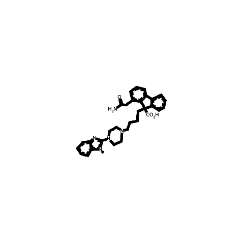 Cn1c(N2CCN(CCCCC3(C(=O)O)c4ccccc4-c4cccc(CC(N)=O)c43)CC2)nc2ccccc21